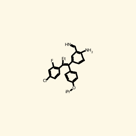 CC/C(=C(/c1ccc(OC(C)C)cc1)c1ccc(N)c(C=N)c1)c1ccc(Cl)cc1F